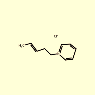 CC=CCC[n+]1ccccc1.[Cl-]